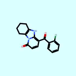 O=C(c1ccccc1Cl)c1ccc(=O)n2c3c([nH]c12)CCCC3